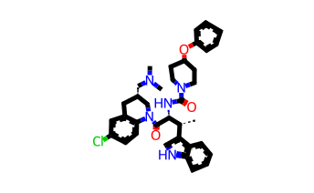 C[C@H](c1c[nH]c2ccccc12)[C@@H](NC(=O)N1CCC(Oc2ccccc2)CC1)C(=O)N1C[C@@H](CN(C)C)Cc2cc(Cl)ccc21